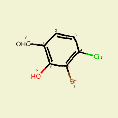 O=Cc1ccc(Cl)c(Br)c1O